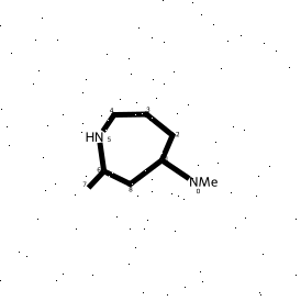 CNC1CCCNC(C)C1